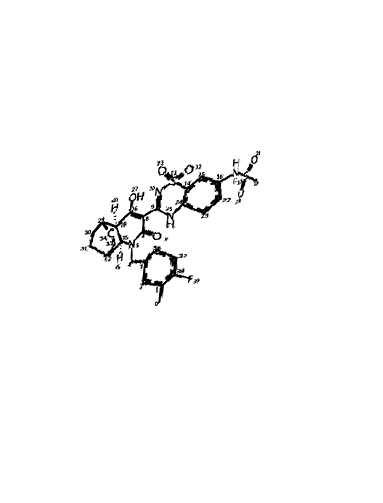 Cc1cc(CN2C(=O)C(C3=NS(=O)(=O)c4cc(NS(C)(=O)=O)ccc4N3)=C(O)[C@@H]3C4CCC(CC4)[C@@H]32)ccc1F